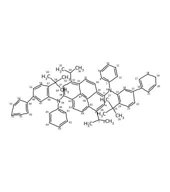 CC(C)c1cc(N(c2ccccc2)c2cc(C3=CCCC=C3)ccc2C(C)(C)C)c2ccc3c(C(C)C)cc(N(c4ccccc4)c4cc(-c5ccccc5)ccc4C(C)(C)C)c4ccc1c2c34